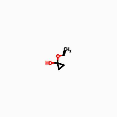 C=COC1(O)CC1